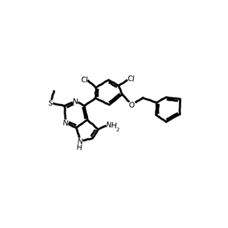 CSc1nc(-c2cc(OCc3ccccc3)c(Cl)cc2Cl)c2c(N)c[nH]c2n1